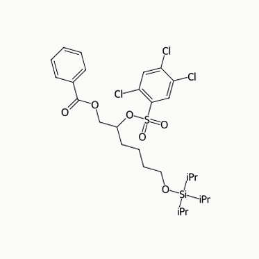 CC(C)[Si](OCCCCC(COC(=O)c1ccccc1)OS(=O)(=O)c1cc(Cl)c(Cl)cc1Cl)(C(C)C)C(C)C